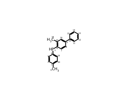 Cc1ccc(Pc2ccc(-c3ccccc3)cc2C)cc1